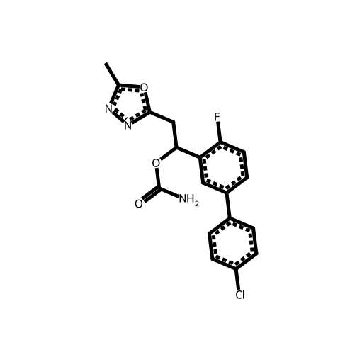 Cc1nnc(CC(OC(N)=O)c2cc(-c3ccc(Cl)cc3)ccc2F)o1